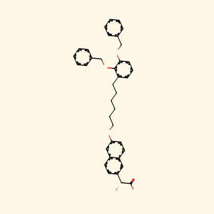 C[C@H](C(=O)O)c1ccc2cc(OCCCCCCc3cccc(OCc4ccccc4)c3OCc3ccccc3)ccc2c1